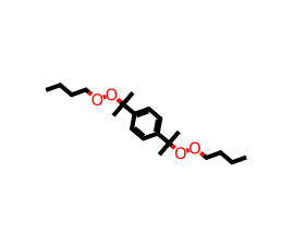 CCCCOOC(C)(C)c1ccc(C(C)(C)OOCCCC)cc1